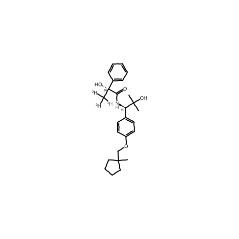 [2H]C([2H])([2H])[C@](O)(C(=O)N[C@H](c1ccc(OCC2(C)CCCC2)cc1)C(C)(C)O)c1ccccc1